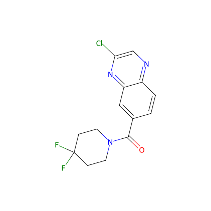 O=C(c1ccc2ncc(Cl)nc2c1)N1CCC(F)(F)CC1